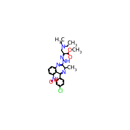 CCN(CC)C/C(=N/NC1=Nc2cccc([N+](=O)[O-])c2C(c2ccc(Cl)cc2)=NC1C)C(=O)OC